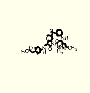 Cc1cc(C(=O)Nc2cccc(C(=O)c3ccc4c(c3)NC(=O)/C4=C\Nc3ccc(CC(=O)O)cc3)c2)n(C)n1